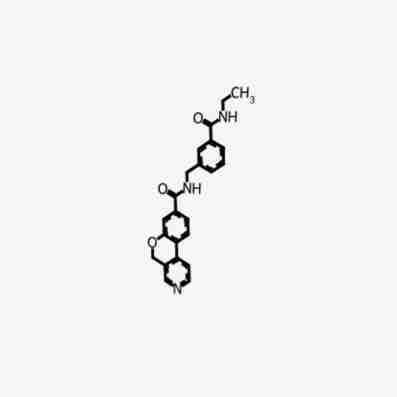 CCNC(=O)c1cccc(CNC(=O)c2ccc3c(c2)OCc2cnccc2-3)c1